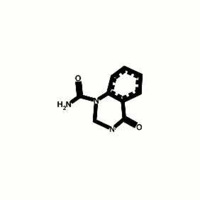 NC(=O)N1C[N]C(=O)c2ccccc21